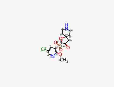 COc1ncc(Cl)cc1S(=O)(=O)C1OC2(CCNCC2)CC1=O